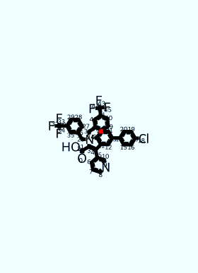 O=C(O)C1=C(c2cccnc2)c2cc(-c3ccc(Cl)cc3)ccc2[N+]1(Cc1cccc(C(F)(F)F)c1)Cc1cccc(C(F)(F)F)c1